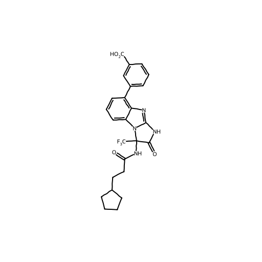 O=C(CCC1CCCC1)NC1(C(F)(F)F)C(=O)Nc2nc3c(-c4cccc(C(=O)O)c4)cccc3n21